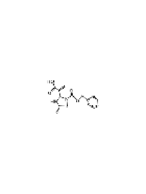 C=C(C(=O)O)C1NC(=O)CN1C(=O)OCc1ccccc1